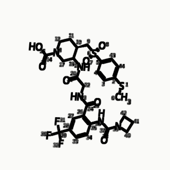 CSc1ccc(S(=O)(=O)C[C@@H]2CCN(C(=O)O)CC2NC(=O)CNC(=O)c2cc(C(F)(F)F)ccc2NC(=O)N2CCC2)cc1